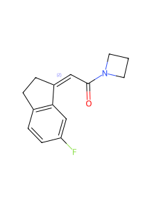 O=C(/C=C1/CCc2ccc(F)cc21)N1CCC1